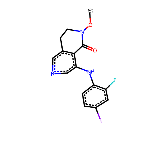 CCON1CCc2cncc(Nc3ccc(I)cc3F)c2C1=O